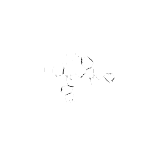 C=CC(=O)N(CC=C(C(=O)NCc1ccccc1)c1cccc([N+](=O)[O-])c1)c1ccc(OC)c(Cl)c1